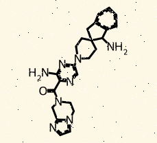 Nc1nc(N2CCC3(CC2)Cc2ccccc2C3N)cnc1C(=O)N1CCn2ccnc2C1